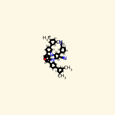 Cc1cc(C)cc(-c2ccc3c4ccccc4n(-c4cc(C#N)c(-c5cccc(C#N)c5)cc4-n4c5ccccc5c5ccc(-c6cc(C)cc(C)c6)cc54)c3c2)c1